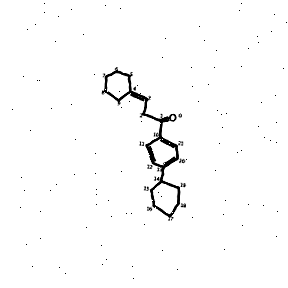 O=C(CC=C1CCCCC1)c1ccc(C2CCCCC2)cc1